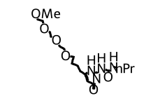 CCCNC(=O)Nc1nc(=O)cc(CCCCOCCOCCOCCOC)[nH]1